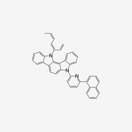 C=C/C(=C\C=C/C)n1c2ccccc2c2ccc3c(c4ccccc4n3-c3cccc(-c4cccc5ccccc45)n3)c21